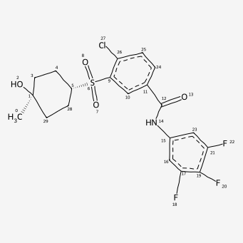 C[C@]1(O)CC[C@H](S(=O)(=O)c2cc(C(=O)Nc3cc(F)c(F)c(F)c3)ccc2Cl)CC1